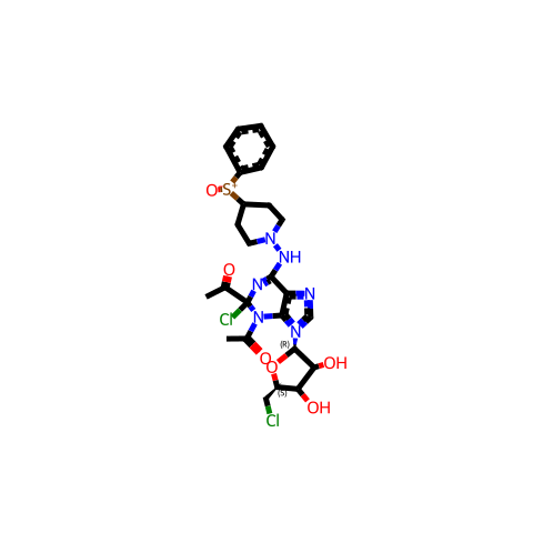 CC(=O)N1c2c(ncn2[C@@H]2O[C@H](CCl)C(O)C2O)C(NN2CCC([S+]([O-])c3ccccc3)CC2)=NC1(Cl)C(C)=O